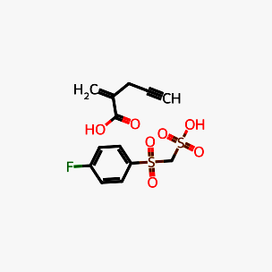 C#CCC(=C)C(=O)O.O=S(=O)(O)CS(=O)(=O)c1ccc(F)cc1